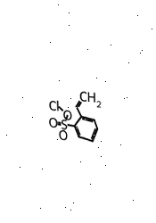 C=Cc1ccccc1S(=O)(=O)OCl